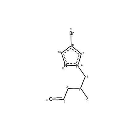 CC(CC=O)Cn1cc(Br)cn1